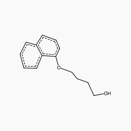 OCCCCOc1cccc2ccccc12